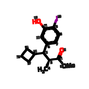 COC(=O)[C@@H](C)C(c1ccc(I)c(O)c1)C1CCC1